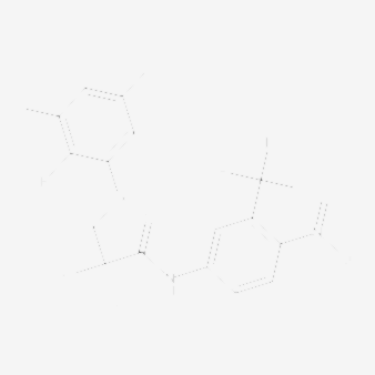 C[C@](O)(COc1cc(F)cc(F)c1F)C(=O)Nc1ccc([N+](=O)[O-])c(C(F)(F)F)c1